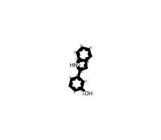 Oc1cccc(-c2cc3ccccc3[nH]2)c1